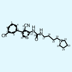 N#Cc1c(-c2cccc(Cl)c2)csc1NC(=O)NCCCCN1CCCC1